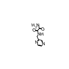 NC(=O)C(=O)NCc1cnccn1